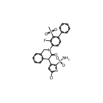 CS(=O)(=O)c1c(-c2ccccc2)ccc(N2Cc3ccccc3C(c3cc(Cl)sc3S(N)(=O)=O)C2=O)c1F